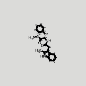 Cc1[nH]c2ccccc2c1CC(=O)N[C@@H](Cc1ccccc1)C(=O)NN